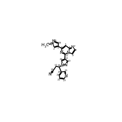 Cn1cc(-c2cc3nccn3c(-c3cnn(C(CC#N)c4cccnc4)c3)n2)cn1